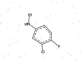 CCNc1ccc(F)c(Cl)c1